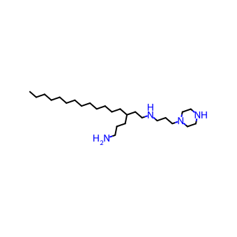 CCCCCCCCCCCCCC(CCCN)CCNCCCN1CCNCC1